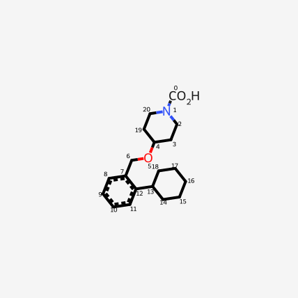 O=C(O)N1CCC(OCc2ccccc2C2CCCCC2)CC1